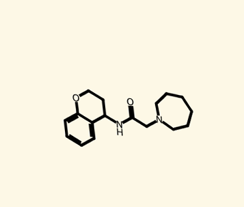 O=C(CN1CCCCCC1)NC1CCOc2ccccc21